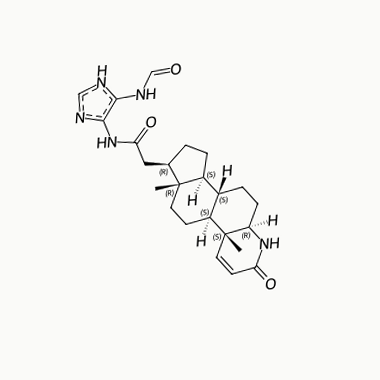 C[C@]12C=CC(=O)N[C@@H]1CC[C@@H]1[C@@H]2CC[C@]2(C)[C@@H](CC(=O)Nc3nc[nH]c3NC=O)CC[C@@H]12